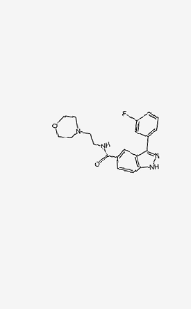 O=C(NCCN1CCOCC1)c1ccc2[nH]nc(-c3cccc(F)c3)c2c1